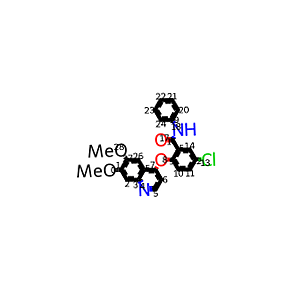 COc1cc2nccc(Oc3ccc(Cl)cc3C(=O)Nc3ccccc3)c2cc1OC